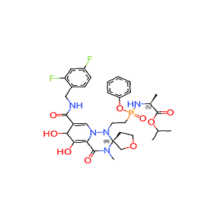 CC(C)OC(=O)[C@H](C)NP(=O)(CCN1N2C=C(C(=O)NCc3ccc(F)cc3F)C(O)C(O)=C2C(=O)N(C)[C@]12CCOC2)Oc1ccccc1